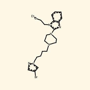 CCOCCn1c(N2CCN(CCCCn3cc(Br)cn3)CC2)nc2ccccc21